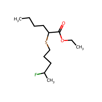 CCCCC(SCCCC(C)F)C(=O)OCC